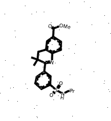 COC(=O)c1ccc2c(c1)CC(C)(C)C(c1cccc(S(=O)(=O)NC(C)C)c1)=N2